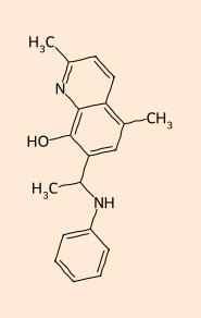 Cc1ccc2c(C)cc(C(C)Nc3ccccc3)c(O)c2n1